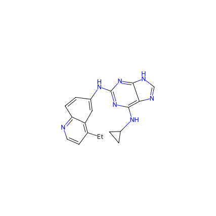 CCc1ccnc2ccc(Nc3nc(NC4CC4)c4nc[nH]c4n3)cc12